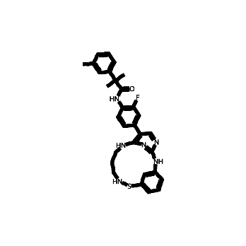 Cc1cccc(C(C)(C)C(=O)Nc2ccc(-c3cnc4nc3NCCCNSc3cccc(c3)N4)cc2F)c1